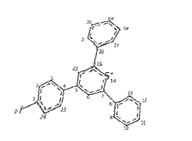 Ic1ccc(-c2cc(-c3ccccc3)[s+]c(-c3ccccc3)c2)cc1